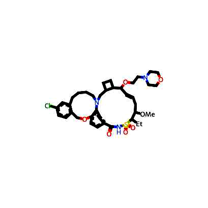 CCC1C(OC)C/C=C/C(OCCN2CCOCC2)C2CCC2CN2CCCCc3cc(Cl)ccc3COc3ccc(cc32)C(=O)NS1(=O)=O